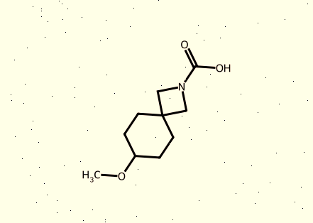 COC1CCC2(CC1)CN(C(=O)O)C2